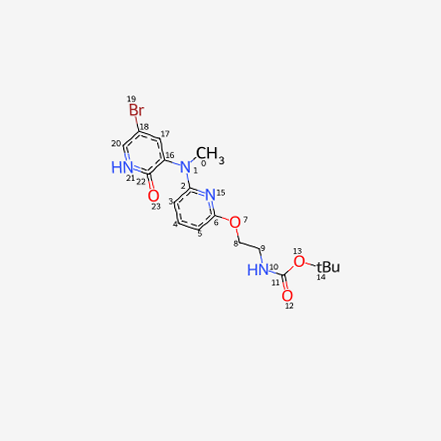 CN(c1cccc(OCCNC(=O)OC(C)(C)C)n1)c1cc(Br)c[nH]c1=O